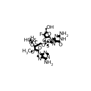 CO[C@H]1[C@H](n2cnc3c(N)ncnc32)OC(C)(COP(O)(=S)O[C@@H]2[C@@H](F)[C@@H](CO)O[C@H]2n2cnc3c(=O)[nH]c(N)nc32)[C@H]1O[PH](O)=S